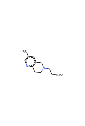 CNCCN1CCc2ncc(C)cc2C1